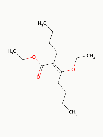 CCCCC(OCC)=C(CCCC)C(=O)OCC